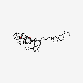 N#Cc1cnn2cc(OCCN3CCC4(CCN(C(F)(F)F)C4)C3)cc(-c3ccc(N4CC5CC(C4)N5C(=O)C4(c5ccc(Cl)cc5Cl)CC4)nc3)c12